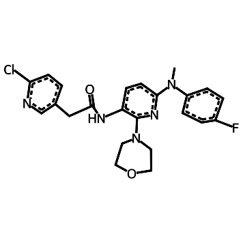 CN(c1ccc(F)cc1)c1ccc(NC(=O)Cc2ccc(Cl)nc2)c(N2CCOCC2)n1